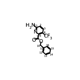 Nc1ccc(C(F)(F)F)c(C(=O)OCc2ccccc2)n1